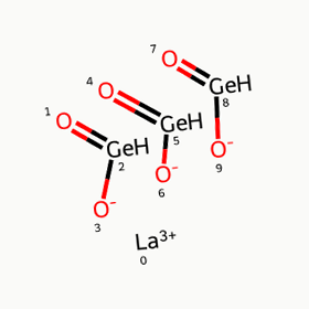 [La+3].[O]=[GeH][O-].[O]=[GeH][O-].[O]=[GeH][O-]